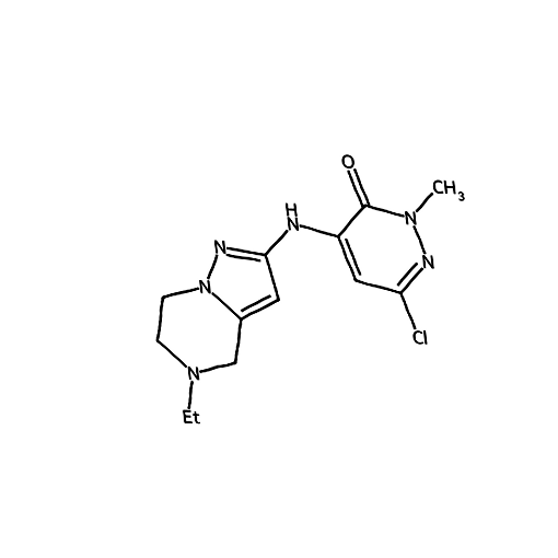 CCN1CCn2nc(Nc3cc(Cl)nn(C)c3=O)cc2C1